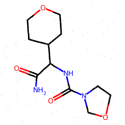 NC(=O)C(NC(=O)N1CCOC1)C1CCOCC1